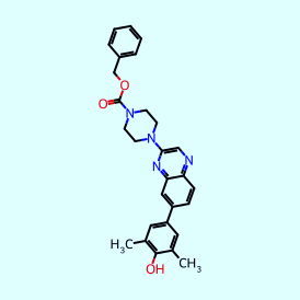 Cc1cc(-c2ccc3ncc(N4CCN(C(=O)OCc5ccccc5)CC4)nc3c2)cc(C)c1O